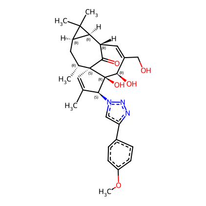 COc1ccc(-c2cn([C@H]3C(C)=C[C@]45C(=O)[C@@H](C=C(CO)[C@@H](O)[C@]34O)[C@H]3[C@@H](C[C@H]5C)C3(C)C)nn2)cc1